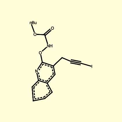 CCCCOC(=O)NOc1nc2ccccc2cc1CC#CI